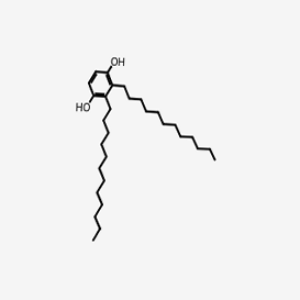 CCCCCCCCCCCCc1c(O)ccc(O)c1CCCCCCCCCCCC